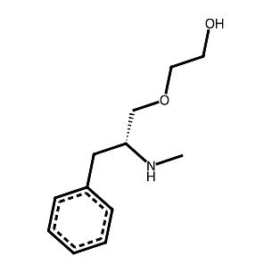 CN[C@@H](COCCO)Cc1ccccc1